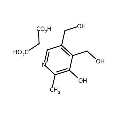 Cc1ncc(CO)c(CO)c1O.O=C(O)CC(=O)O